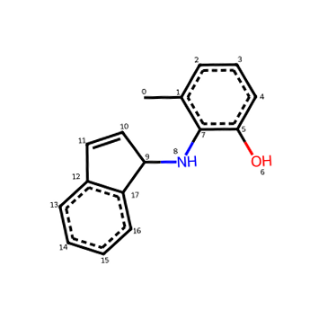 Cc1cccc(O)c1NC1C=Cc2ccccc21